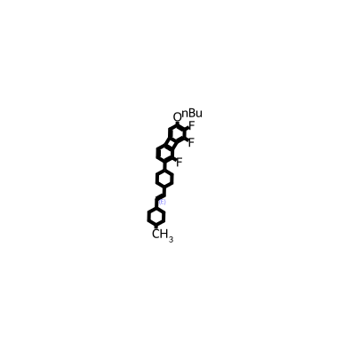 CCCCOc1cc2c(c(F)c1F)-c1c-2ccc(C2CCC(/C=C/C3CCC(C)CC3)CC2)c1F